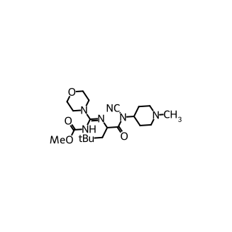 COC(=O)NC(=NC(CC(C)(C)C)C(=O)N(C#N)C1CCN(C)CC1)N1CCOCC1